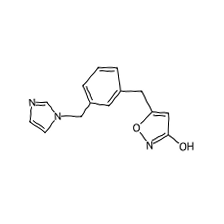 Oc1cc(Cc2cccc(Cn3ccnc3)c2)on1